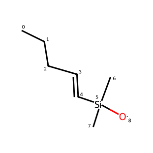 CCC/C=C/[Si](C)(C)[O]